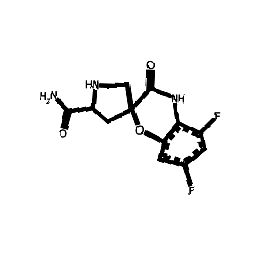 NC(=O)C1CC2(CN1)Oc1cc(F)cc(F)c1NC2=O